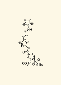 CCCCS(=O)(=O)NC(CNC(=O)CC1CC(CCCNC2NCCN2)NO1)C(=O)O